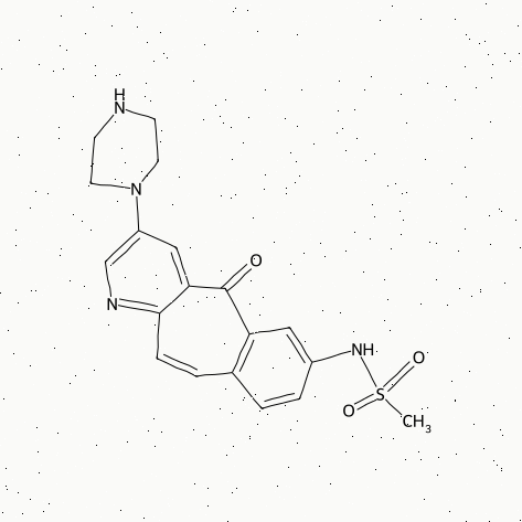 CS(=O)(=O)Nc1ccc2ccc3ncc(N4CCNCC4)cc3c(=O)c2c1